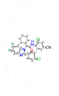 N#Cc1ccc(NC(=O)C(C2CCCCC2)n2c(-c3ccc(Cl)cc3)nc3cc(F)c(F)cc32)c(Cl)c1